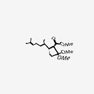 COC(=O)[C@@H]1[C@@H]([C@H](C)CCC=C(C)C)CCC1(OC)OC